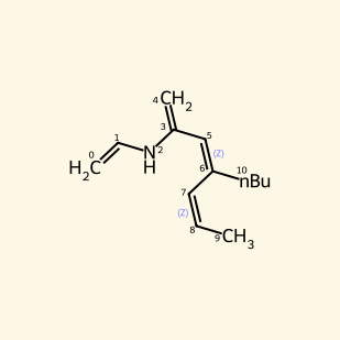 C=CNC(=C)/C=C(\C=C/C)CCCC